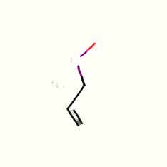 C=CCP[O-].[Na+]